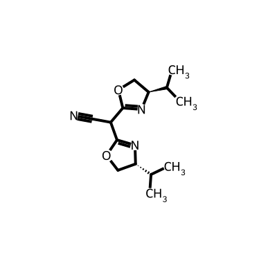 CC(C)[C@@H]1COC(C(C#N)C2=N[C@H](C(C)C)CO2)=N1